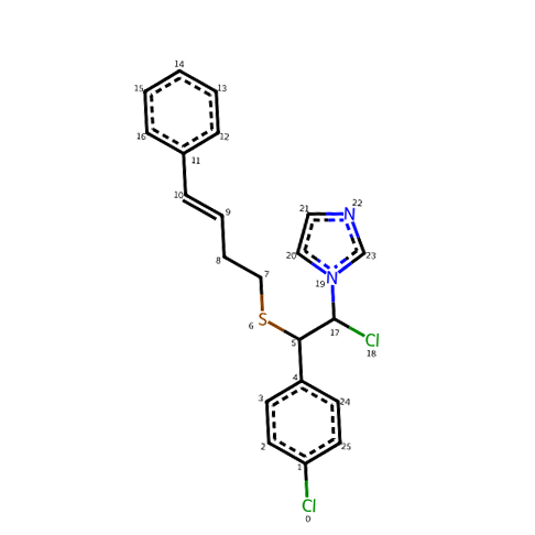 Clc1ccc(C(SCCC=Cc2ccccc2)C(Cl)n2ccnc2)cc1